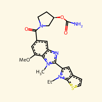 CCn1c(-c2nc3cc(C(=O)N4CC[C@@H](OC(N)=O)C4)cc(OC)c3n2C)cc2ccsc21